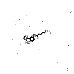 CCCCCC(=O)Nc1ccc(O)c(-c2nnco2)c1